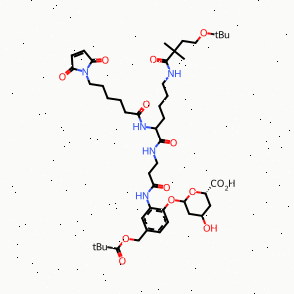 CC(C)(C)OCCC(C)(C)C(=O)NCCCCC(NC(=O)CCCCCN1C(=O)C=CC1=O)C(=O)NCCC(=O)Nc1cc(COC(=O)C(C)(C)C)ccc1OC1CC(O)C[C@@H](C(=O)O)O1